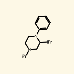 CC(C)C1CN(C(C)C)CCN1c1ccccc1